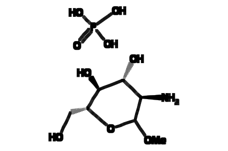 COC1O[C@H](CO)[C@@H](O)[C@H](O)[C@H]1N.O=P(O)(O)O